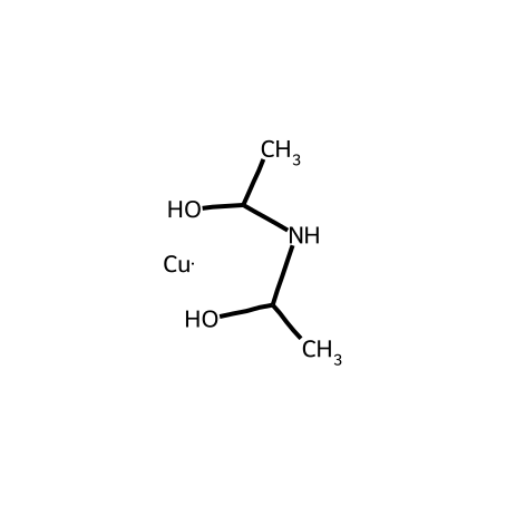 CC(O)NC(C)O.[Cu]